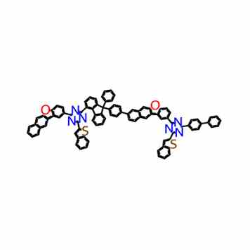 c1ccc(-c2ccc(-c3nc(-c4ccc5oc6cc7cc(-c8ccc(C9(c%10ccccc%10)c%10ccccc%10-c%10c(-c%11nc(-c%12ccc%13oc%14cc%15ccccc%15cc%14c%13c%12)nc(-c%12cc%13ccccc%13s%12)n%11)cccc%109)cc8)ccc7cc6c5c4)nc(-c4cc5ccccc5s4)n3)cc2)cc1